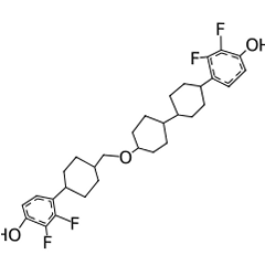 Oc1ccc(C2CCC(COC3CCC(C4CCC(c5ccc(O)c(F)c5F)CC4)CC3)CC2)c(F)c1F